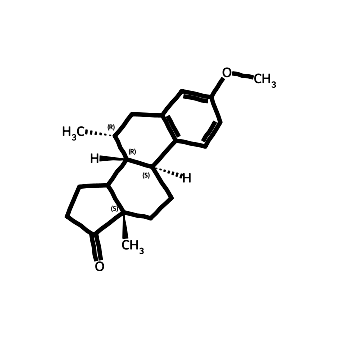 COc1ccc2c(c1)C[C@@H](C)[C@H]1C3CCC(=O)[C@@]3(C)CC[C@H]21